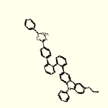 CCCc1ccc2c(c1)c1cc(-c3ccccc3-c3ccccc3-c3ccc(C4=NNC(c5ccccc5)O4)cc3)ccc1n2-c1ccccc1